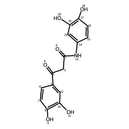 O=C(CC(=O)c1ccc(O)c(O)c1)Nc1ccc(O)c(O)c1